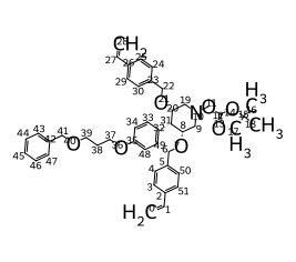 C=Cc1ccc(CO[C@H]2CN(OC(=O)OC(C)(C)C)C[C@@H](OCc3ccc(C=C)cc3)[C@H]2c2ccc(OCCCOCc3ccccc3)cc2)cc1